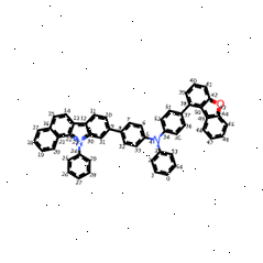 c1ccc(N(c2ccc(-c3ccc4c5ccc6ccccc6c5n(-c5ccccc5)c4c3)cc2)c2ccc(-c3cccc4oc5ccccc5c34)cc2)cc1